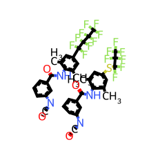 Cc1cc(C(F)(F)C(F)(F)C(F)(F)C(F)(F)F)cc(C)c1NC(=O)c1cccc(N=C=O)c1.Cc1cc(SC(F)(F)C(F)(F)C(F)(F)F)cc(C)c1NC(=O)c1cccc(N=C=O)c1